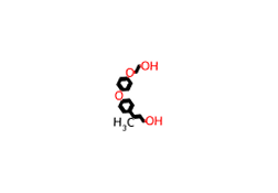 CC(=CCO)c1ccc(Oc2ccc(OCCO)cc2)cc1